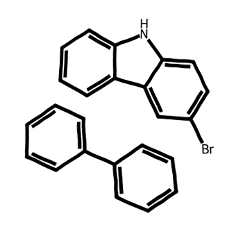 Brc1ccc2[nH]c3ccccc3c2c1.c1ccc(-c2ccccc2)cc1